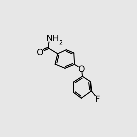 NC(=O)c1ccc(Oc2cccc(F)c2)cc1